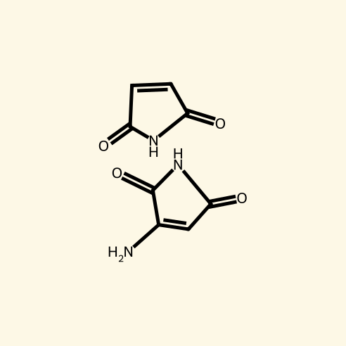 NC1=CC(=O)NC1=O.O=C1C=CC(=O)N1